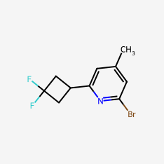 Cc1cc(Br)nc(C2CC(F)(F)C2)c1